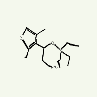 CC[Si](CC)(CC)OC(CN)c1c(C)csc1C